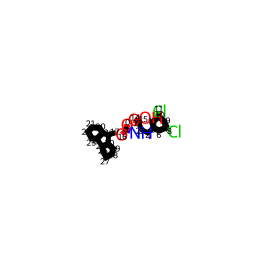 O=C(NC(Cc1cc(Cl)cc(Cl)c1)C(=O)O)OCC1c2ccccc2-c2ccccc21